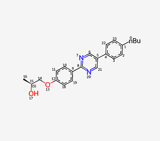 CCCCc1ccc(-c2cnc(-c3ccc(OC[C@H](C)O)cc3)nc2)cc1